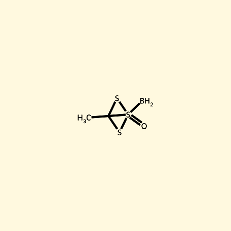 BS12(=O)SC1(C)S2